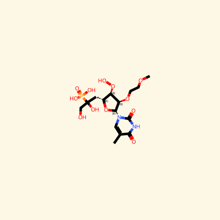 COCCO[C@@H]1[C@H](OO)[C@@H](CC(O)(CO)P(=O)(O)O)O[C@H]1n1cc(C)c(=O)[nH]c1=O